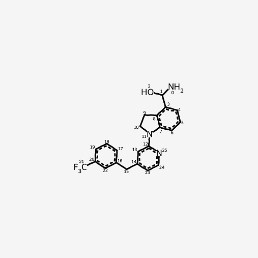 NC(O)c1cccc2c1CCN2c1cc(Cc2cccc(C(F)(F)F)c2)ccn1